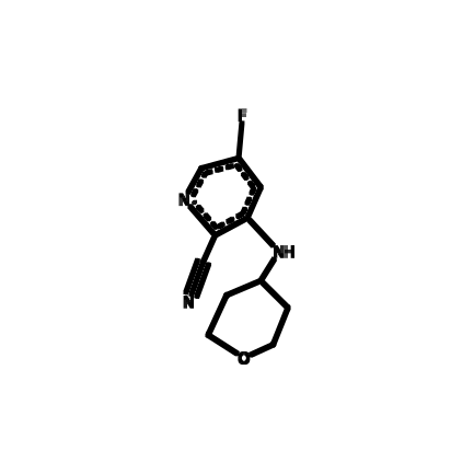 N#Cc1ncc(F)cc1NC1CCOCC1